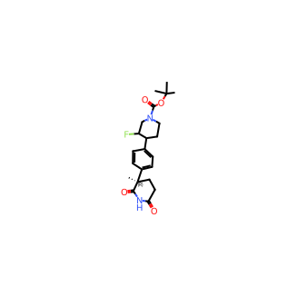 CC(C)(C)OC(=O)N1CCC(c2ccc([C@@]3(C)CCC(=O)NC3=O)cc2)C(F)C1